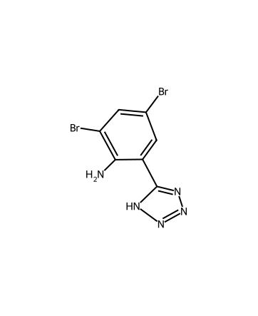 Nc1c(Br)cc(Br)cc1-c1nnn[nH]1